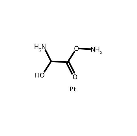 NOC(=O)C(N)O.[Pt]